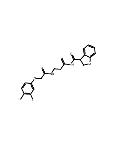 C=C(CCNC(=O)COc1ccc(Cl)c(F)c1)NC(=O)C1COc2ccccc21